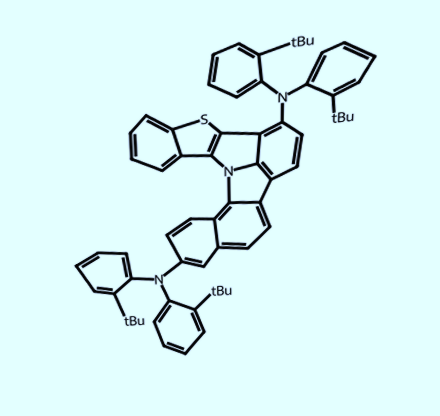 CC(C)(C)c1ccccc1N(c1ccc2c(ccc3c4ccc(N(c5ccccc5C(C)(C)C)c5ccccc5C(C)(C)C)c5c6sc7ccccc7c6n(c23)c45)c1)c1ccccc1C(C)(C)C